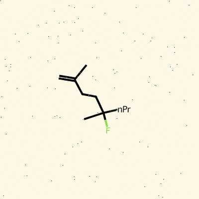 C=C(C)CCC(C)(F)CCC